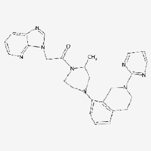 CC1CN(c2cccc3c2CN(c2ncccn2)CC3)CCN1C(=O)Cn1cnc2cccnc21